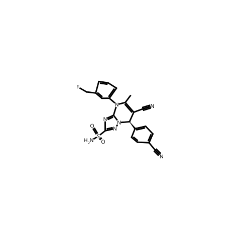 CC1=C(C#N)[C@@H](c2ccc(C#N)cc2)n2nc(S(N)(=O)=O)nc2N1c1cccc(CF)c1